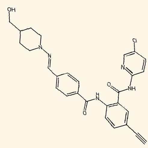 C#Cc1ccc(NC(=O)c2ccc(C=NN3CCC(CO)CC3)cc2)c(C(=O)Nc2ccc(Cl)cn2)c1